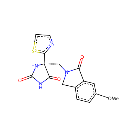 COc1ccc2c(c1)C(=O)N(C[C@@]1(c3nccs3)NC(=O)NC1=O)C2